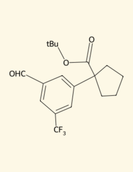 CC(C)(C)OC(=O)C1(c2cc(C=O)cc(C(F)(F)F)c2)CCCC1